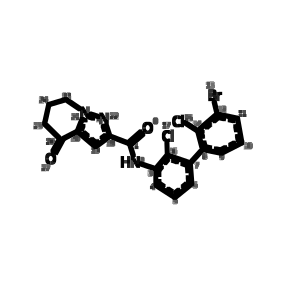 O=C(Nc1cccc(-c2cccc(Br)c2Cl)c1Cl)c1cc2n(n1)CCCC2=O